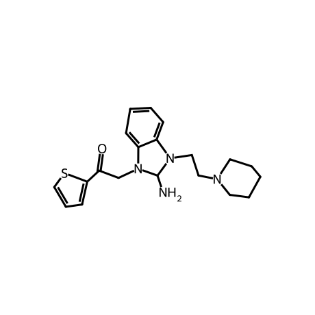 NC1N(CCN2CCCCC2)c2ccccc2N1CC(=O)c1cccs1